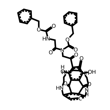 O=C(NCC(=O)N(CC(=O)C1NCCNc2ccc(c3c2C(=O)c2c(O)ccc(O)c2C3=O)NCCNC1=O)C(=O)OCc1ccccc1)OCc1ccccc1